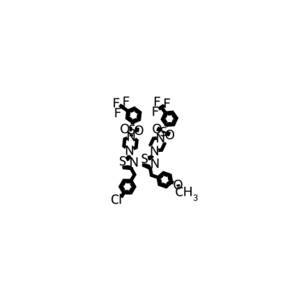 COc1ccc(Cc2csc(N3CCN(S(=O)(=O)c4cccc(C(F)(F)F)c4)CC3)n2)cc1.O=S(=O)(c1cccc(C(F)(F)F)c1)N1CCN(c2nc(Cc3ccc(Cl)cc3)cs2)CC1